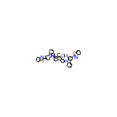 CC1(C)c2cc(-n3c4ccccc4c4cc(-c5nc6ccccc6s5)ccc43)ccc2-c2ccc(-n3c4ccccc4c4cc(-c5nc6ccccc6s5)ccc43)cc21